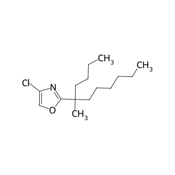 CCCCCCC(C)(CCCC)c1nc(Cl)co1